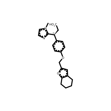 Cn1ccnc1[C@@H](CC(=O)O)c1ccc(OCc2cc3c(o2)CCCC3)cc1